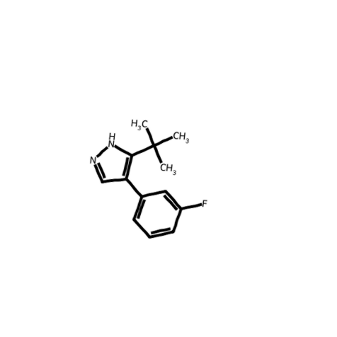 CC(C)(C)c1[nH]ncc1-c1cccc(F)c1